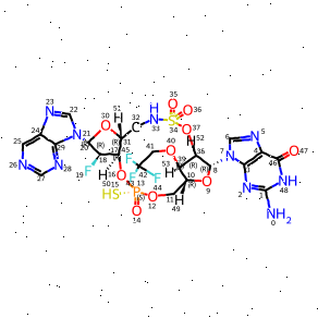 Nc1nc2c(ncn2[C@@H]2O[C@@H]3CO[P@](=O)(S)O[C@H]4[C@@H](F)[C@H](n5cnc6cncnc65)O[C@@H]4CNS(=O)(=O)O[C@@H]2[C@@H]3OCC(F)(F)F)c(=O)[nH]1